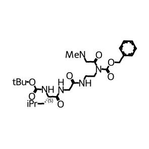 CNCC(=O)N(CCNC(=O)CNC(=O)[C@H](CC(C)C)NC(=O)OC(C)(C)C)C(=O)OCc1ccccc1